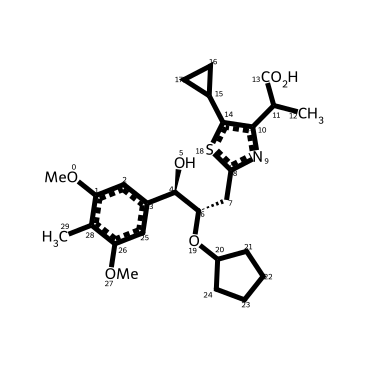 COc1cc([C@@H](O)[C@H](Cc2nc(C(C)C(=O)O)c(C3CC3)s2)OC2CCCC2)cc(OC)c1C